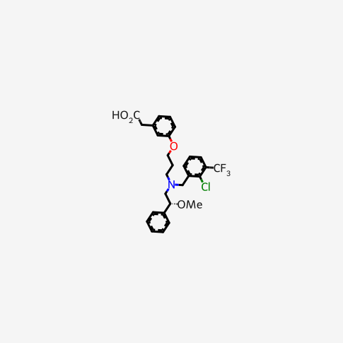 CO[C@@H](CN(CCCOc1cccc(CC(=O)O)c1)Cc1cccc(C(F)(F)F)c1Cl)c1ccccc1